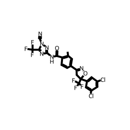 Cc1cc(C2=NOC(c3cc(Cl)cc(Cl)c3)(C(F)(F)F)C2)ccc1C(=O)Nc1nc(C(F)(F)F)n(C#N)n1